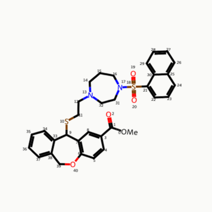 COC(=O)c1ccc2c(c1)C(SCCN1CCCN(S(=O)(=O)c3cccc4ccccc34)CC1)c1ccccc1CO2